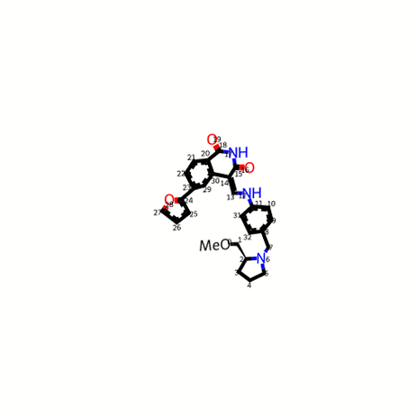 COC[C@@H]1CCCN1Cc1ccc(NC=C2C(=O)NC(=O)c3ccc(-c4ccco4)cc32)cc1